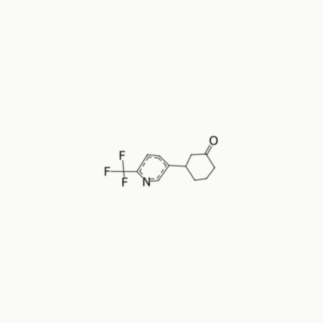 O=C1CCCC(c2ccc(C(F)(F)F)nc2)C1